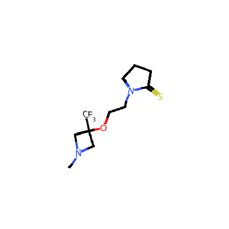 CN1CC(OCCN2CCCC2=S)(C(F)(F)F)C1